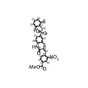 COC(=O)c1ccc(/C=C2/Sc3cc(S(=O)(=O)Cc4c(F)cccc4F)ccc3NC2=O)c([N+](=O)[O-])c1